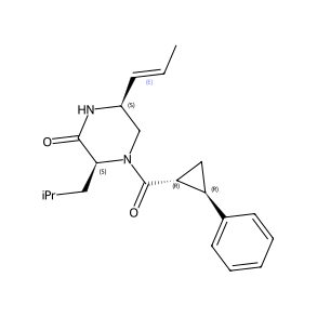 C/C=C/[C@H]1CN(C(=O)[C@@H]2C[C@H]2c2ccccc2)[C@@H](CC(C)C)C(=O)N1